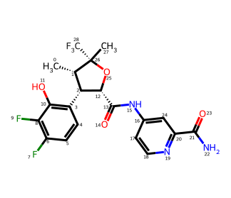 C[C@H]1[C@@H](c2ccc(F)c(F)c2O)[C@@H](C(=O)Nc2ccnc(C(N)=O)c2)O[C@@]1(C)C(F)(F)F